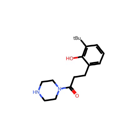 CC(C)(C)c1cccc(CCC(=O)N2CCNCC2)c1O